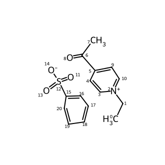 CC[n+]1ccc(C(C)=O)cc1.O=S(=O)([O-])c1ccccc1